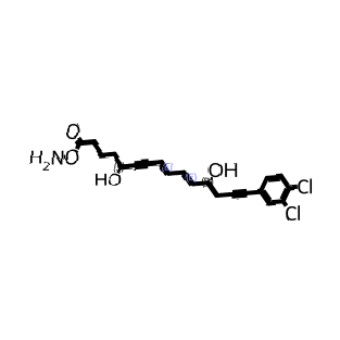 NOC(=O)CCC[C@H](O)C#C/C=C/C=C/[C@H](O)CC#Cc1ccc(Cl)c(Cl)c1